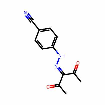 CC(=O)C(=NNc1ccc(C#N)cc1)C(C)=O